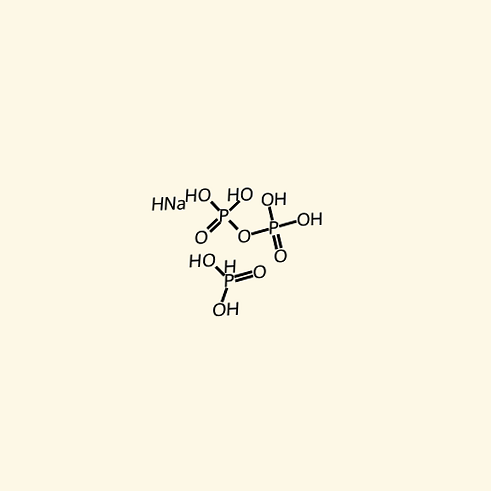 O=P(O)(O)OP(=O)(O)O.O=[PH](O)O.[NaH]